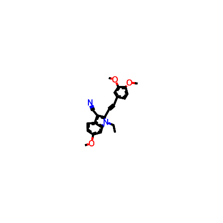 CCn1c(C#Cc2ccc(OC)c(OC)c2)c(C#N)c2ccc(OC)cc21